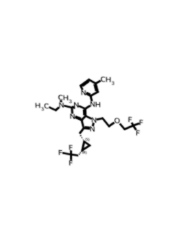 CCN(C)c1nc(Nc2cc(C)ccn2)c2c(n1)c(C[C@@H]1C[C@@H]1CC(F)(F)F)nn2CCOCC(F)(F)F